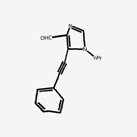 CCCn1cnc(C=O)c1C#Cc1ccccc1